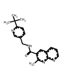 Cc1nc2ncccc2cc1C(=O)NCc1ccc(C(C)(C)C)nc1